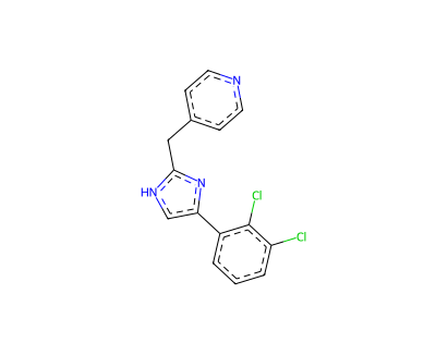 Clc1cccc(-c2c[nH]c(Cc3ccncc3)n2)c1Cl